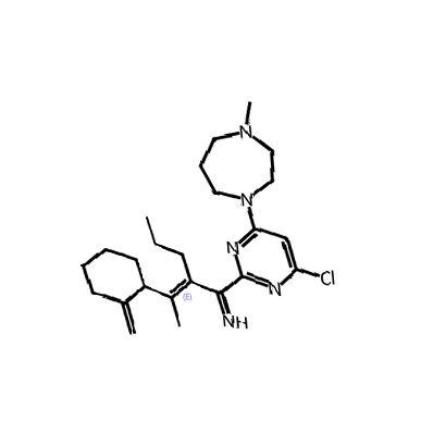 C=C1CCCCC1/C(C)=C(\CCC)C(=N)c1nc(Cl)cc(N2CCCN(C)CC2)n1